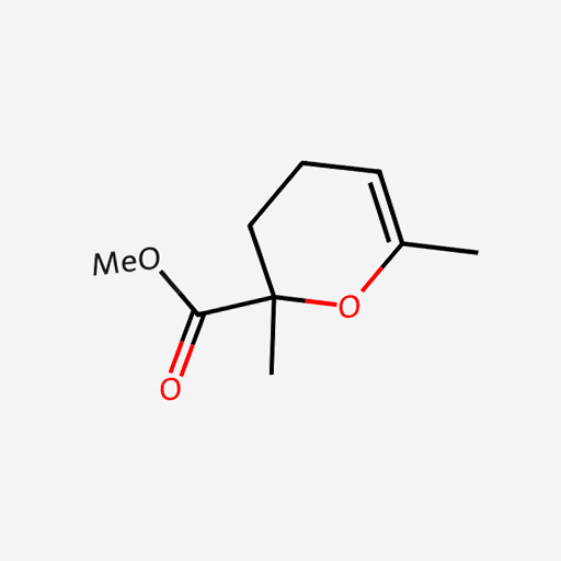 COC(=O)C1(C)CCC=C(C)O1